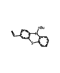 C=Cc1ccc2c(c1)Sc1ccccc1N2CCCC